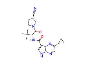 CC(C)(C)[C@@H](NC(=O)c1c[nH]c2ncc(C3CC3)nc12)C(=O)N1CC[C@@H](C#N)C1